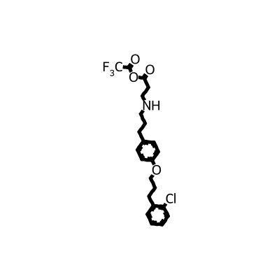 O=C(CCNCCCc1ccc(OCCCc2ccccc2Cl)cc1)OC(=O)C(F)(F)F